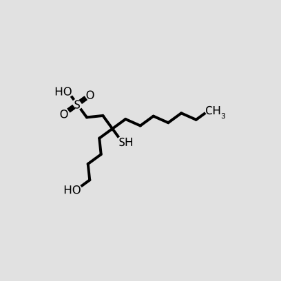 CCCCCCCC(S)(CCCCO)CCS(=O)(=O)O